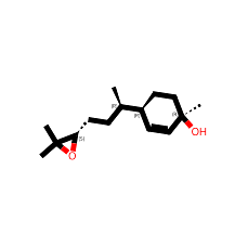 C[C@H](CC[C@@H]1OC1(C)C)[C@@H]1C=C[C@](C)(O)CC1